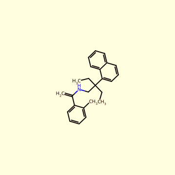 C=C(NCC(CC)(CC)c1cccc2ccccc12)c1ccccc1C